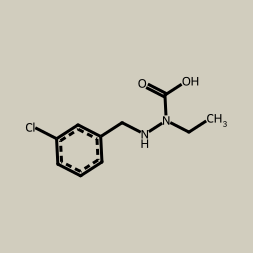 CCN(NCc1cccc(Cl)c1)C(=O)O